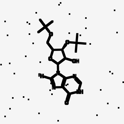 [2H]c1nc2c(=O)[nH]cnc2n1C1OC(COC(C)(C)C)[C@@H](OC(C)(C)C)C1O